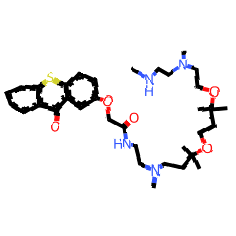 CNCCN(C)CCOC(C)(C)CCOC(C)(C)CCN(C)CCNC(=O)COc1ccc2sc3ccccc3c(=O)c2c1